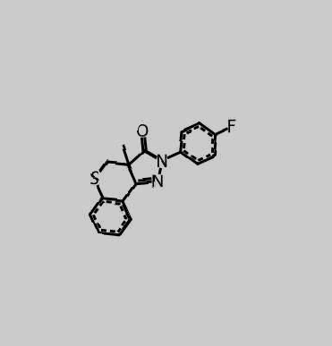 CC12CSc3ccccc3C1=NN(c1ccc(F)cc1)C2=O